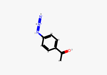 [CH2]C(=O)c1ccc(N=[N+]=[N-])cc1